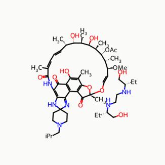 CC[C@@H](CO)NCCN[C@@H](CC)CO.CO[C@H]1/C=C/O[C@@]2(C)Oc3c(C)c(O)c4c(c3C2=O)C2=NC3(CCN(CC(C)C)CC3)NC2=C(NC(=O)/C(C)=C\C=C\[C@H](C)[C@H](O)[C@@H](C)[C@@H](O)[C@@H](C)[C@H](OC(C)=O)[C@@H]1C)C4=O